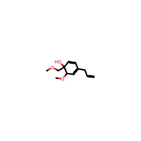 C=CCC1=CC(OC)C(O)(COC)C=C1